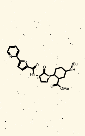 COC(=O)C1CC(NC(C)(C)C)CCC1N1CC[C@H](NC(=O)c2ccc(-c3ccccn3)s2)C1=O